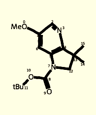 COc1cnc2c(c1)N(C(=O)OC(C)(C)C)CC2(C)C